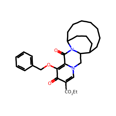 CCOC(=O)c1cn2c(c(OCc3ccccc3)c1=O)C(=O)N1C3CCCCCCCC(CCC3)C1C2